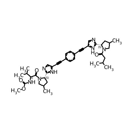 COC(=O)N[C@H](C(=O)N1CC(C)C[C@H]1c1ncc(C#Cc2ccc(C#Cc3cnc([C@@H]4CC(C)CN4C(=O)CC(C)C)[nH]3)cc2)[nH]1)C(C)C